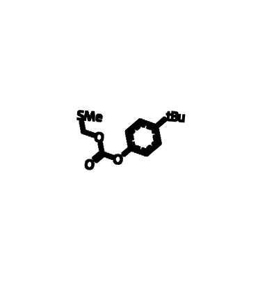 CSCOC(=O)Oc1ccc(C(C)(C)C)cc1